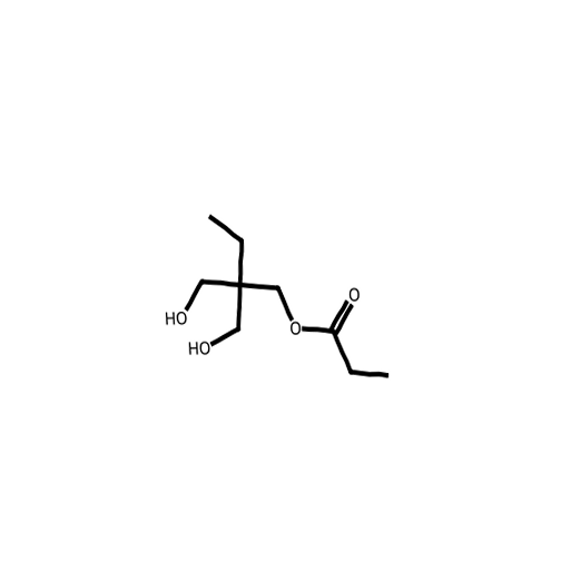 CCC(=O)OCC(CC)(CO)CO